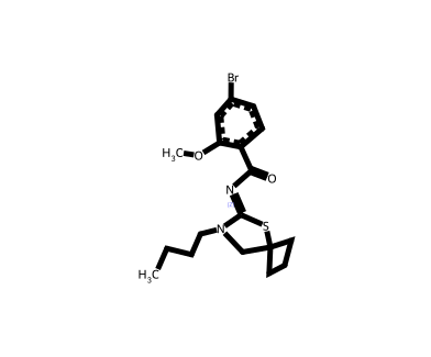 CCCCN1CC2(CCC2)S/C1=N\C(=O)c1ccc(Br)cc1OC